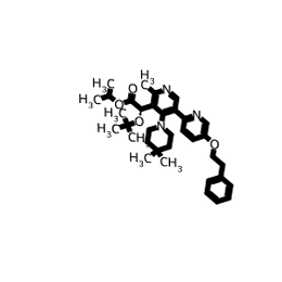 Cc1ncc(-c2ccc(OCCc3ccccc3)cn2)c(N2CCC(C)(C)CC2)c1[C@H](OC(C)(C)C)C(=O)OC(C)C